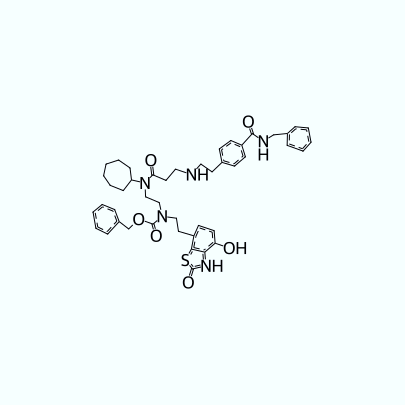 O=C(NCc1ccccc1)c1ccc(CCNCCC(=O)N(CCN(CCc2ccc(O)c3[nH]c(=O)sc23)C(=O)OCc2ccccc2)C2CCCCCC2)cc1